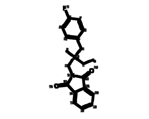 CC[Si](C)(Cc1ccc(F)cc1)CN1C(=O)c2ccccc2C1=O